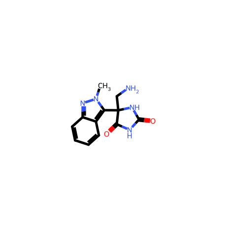 Cn1nc2ccccc2c1C1(CN)NC(=O)NC1=O